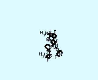 CC1(C(=O)N2CC3(CCCCN(c4nc(OC[C@@]56CCCN5C[C@H](F)C6)nc5c(F)c(-c6ccc(F)c7sc(N)c(C#N)c67)c(Cl)cc45)C3)C2)CC1(F)F